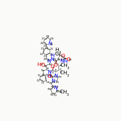 CC[C@H](C)[C@@H](C(=O)N[C@@H](Cc1ccccc1)[C@@H](O)CN(Cc1ccc(-c2ccccn2)cc1)NC(=O)[C@H]1NC(=O)OC1C)N1CCN(Cc2cccc(C)n2)C1=O